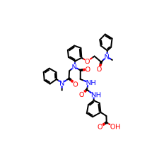 CN(C(=O)COc1ccccc1N(CC(=O)N(C)c1ccccc1)C(=O)CNC(=O)Nc1cccc(CC(=O)O)c1)c1ccccc1